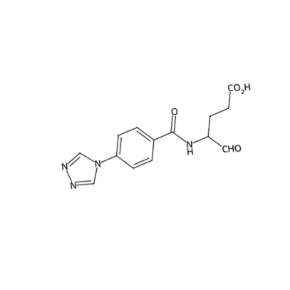 O=CC(CCC(=O)O)NC(=O)c1ccc(-n2cnnc2)cc1